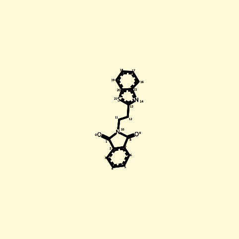 O=C1c2ccccc2C(=O)N1CCc1nc2ccccc2s1